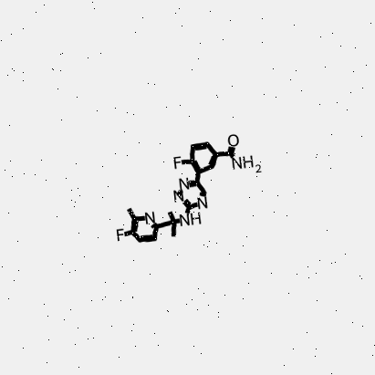 Cc1nc(C(C)(C)Nc2ncc(-c3cc(C(N)=O)ccc3F)nn2)ccc1F